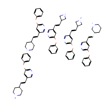 C(=CC1CCNCC1)c1cncc(Oc2ccccc2)c1.C(=CC1CNC1)c1cncc(Oc2ccccc2)c1.CN1CC(C=Cc2cncc(Oc3ccccc3)c2)C1.CN1CCC(C=Cc2cncc(Oc3ccccc3)c2)CC1.CN1CCC[C@@H](C=Cc2cncc(Oc3ccccc3)c2)C1